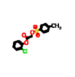 Cc1ccc(S(=O)(=O)OCC(=O)Oc2ccccc2Cl)cc1